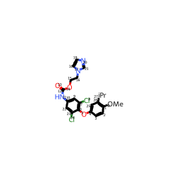 COc1ccc(Oc2c(Cl)cc(NC(=O)OCCn3ccnc3)cc2Cl)cc1C(C)C